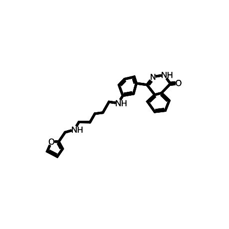 O=c1[nH]nc(-c2cccc(NCCCCCNCc3ccco3)c2)c2ccccc12